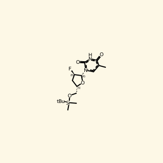 Cc1cn([C@@H]2O[C@H](CO[Si](C)(C)C(C)(C)C)C[C@H]2F)c(=O)[nH]c1=O